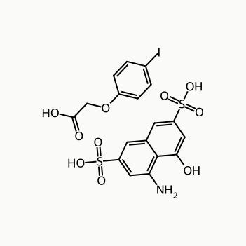 Nc1cc(S(=O)(=O)O)cc2cc(S(=O)(=O)O)cc(O)c12.O=C(O)COc1ccc(I)cc1